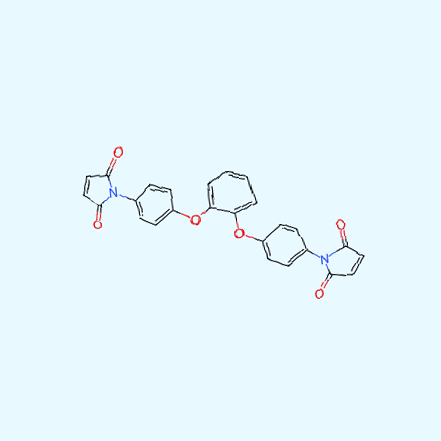 O=C1C=CC(=O)N1c1ccc(Oc2ccccc2Oc2ccc(N3C(=O)C=CC3=O)cc2)cc1